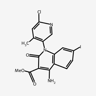 COC(=O)c1c(N)c2ccc(I)cc2n(-c2cnc(Cl)cc2C)c1=O